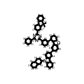 CC1(C)c2ccccc2-c2ccc(-c3nc(-c4ccccc4)nc(-c4cccc(-c5cccc6oc7ccc(-c8ccc9c(c8)c8ccccc8n9-c8ccc9ccccc9c8)cc7c56)c4)n3)cc21